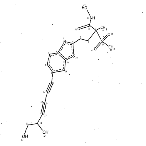 CC(CCc1nc2ccc(C#CC#CC(O)CO)cc2s1)(C(=O)NO)S(C)(=O)=O